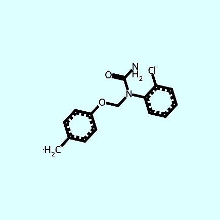 [CH2]c1ccc(OCN(C(N)=O)c2ccccc2Cl)cc1